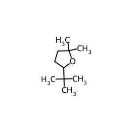 CC1(C)CCC(C(C)(C)C)O1